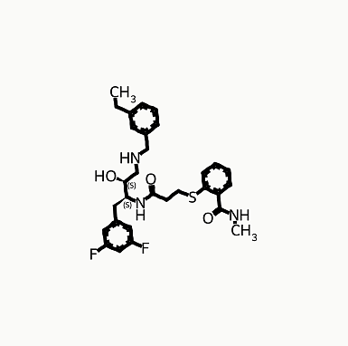 CCc1cccc(CNC[C@H](O)[C@H](Cc2cc(F)cc(F)c2)NC(=O)CCSc2ccccc2C(=O)NC)c1